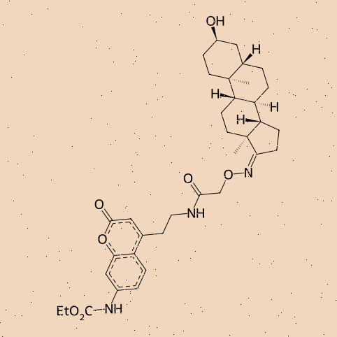 CCOC(=O)Nc1ccc2c(CCNC(=O)CO/N=C3/CC[C@H]4[C@@H]5CC[C@H]6C[C@H](O)CC[C@]6(C)[C@H]5CC[C@]34C)cc(=O)oc2c1